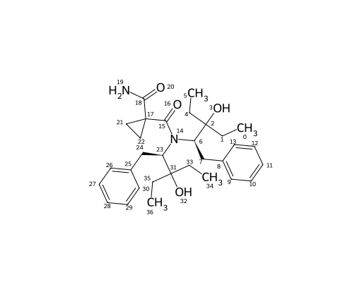 CCC(O)(CC)[C@@H](Cc1ccccc1)N(C(=O)C1(C(N)=O)CC1)[C@H](Cc1ccccc1)C(O)(CC)CC